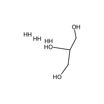 OCC(O)CO.[HH].[HH].[HH]